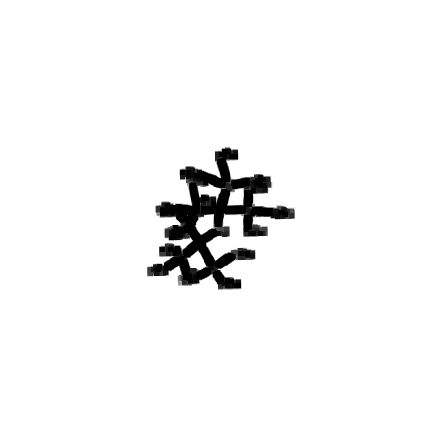 CCCC[Si](CCCC)(CCCC)[C]([Lu][C]([Si](CCCC)(CCCC)CCCC)([Si](CCCC)(CCCC)CCCC)[Si](CCCC)(CCCC)CCCC)([Si](CCCC)(CCCC)CCCC)[Si](CCCC)(CCCC)CCCC